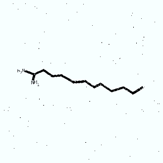 [CH2]CCCCCCCCCCC(N)N